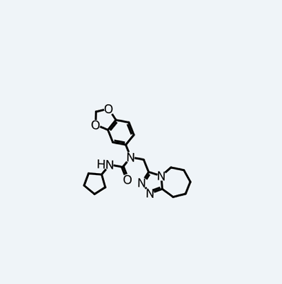 O=C(NC1CCCC1)N(Cc1nnc2n1CCCCC2)c1ccc2c(c1)OCO2